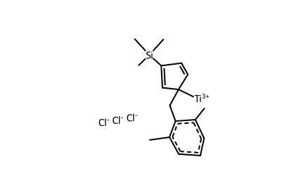 Cc1cccc(C)c1C[C]1([Ti+3])C=CC([Si](C)(C)C)=C1.[Cl-].[Cl-].[Cl-]